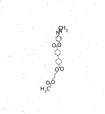 C=CC(=O)OCCCCOC(=O)C1CCC(C2CCC(C(=O)Oc3ccc(N=NC)cc3)CC2)CC1